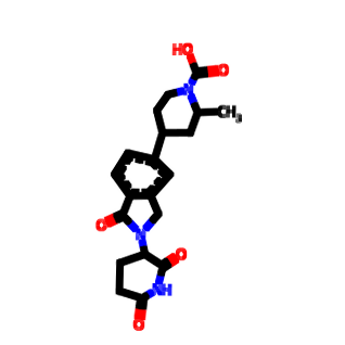 CC1CC(c2ccc3c(c2)CN(C2CCC(=O)NC2=O)C3=O)CCN1C(=O)O